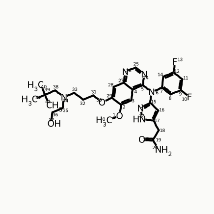 COc1cc2c(N(c3cc(F)cc(F)c3)c3cc(CC(N)=O)[nH]n3)ncnc2cc1OCCCN(CCO)CC(C)(C)C